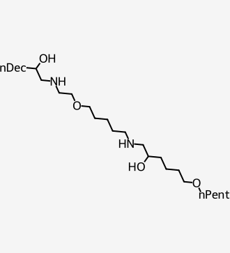 CCCCCCCCCCC(O)CNCCOCCCCCNCC(O)CCCCOCCCCC